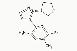 Cc1cc(N)c(-c2ccnn2[C@H]2CCOC2)cc1Br